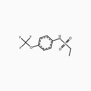 CCS(=O)(=O)Nc1ccc(OC(F)(F)F)cc1